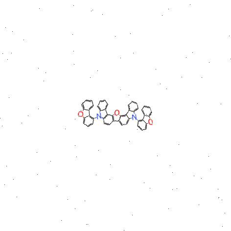 c1ccc2c(c1)oc1cccc(-n3c4ccccc4c4c5oc6c(ccc7c6c6ccccc6n7-c6cccc7oc8ccccc8c67)c5ccc43)c12